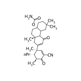 CCC[C@H]1[C@H](C)C(=O)C(C#N)=C[C@]1(C)C1=CC(=O)C2C3CC(C)(C)CC[C@]3(OC(N)=O)CC[C@@]2(C)C1